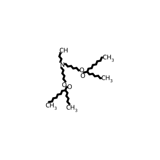 C#CCCCN(CCCCCCOC(=O)C(CCCCCC)CCCCCCCC)CCCCCCOC(=O)C(CCCCCC)CCCCCCCC